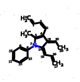 C=C/C=C\c1c(C)n(-c2ccccc2)c(=C/C=C)/c1=C\C